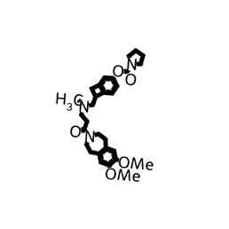 COc1cc2c(cc1OC)CCN(C(=O)CCN(C)CC1Cc3cc(OC(=O)N4CCCC4)ccc31)CC2